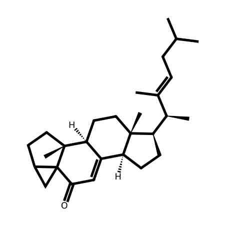 C/C(=C\CC(C)C)[C@@H](C)[C@H]1CC[C@H]2C3=CC(=O)C45CC4CC[C@]5(C)[C@H]3CC[C@]12C